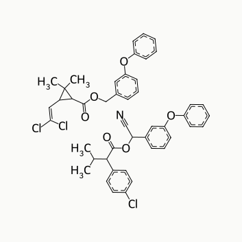 CC(C)C(C(=O)OC(C#N)c1cccc(Oc2ccccc2)c1)c1ccc(Cl)cc1.CC1(C)C(C=C(Cl)Cl)C1C(=O)OCc1cccc(Oc2ccccc2)c1